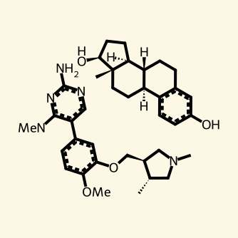 CNc1nc(N)ncc1-c1ccc(OC)c(OC[C@H]2CN(C)C[C@@H]2C)c1.C[C@]12CC[C@@H]3c4ccc(O)cc4CC[C@H]3[C@@H]1CC[C@@H]2O